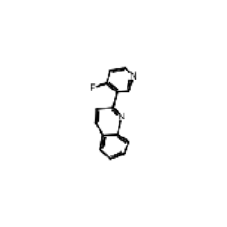 Fc1ccncc1-c1ccc2ccccc2n1